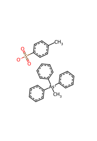 C[As+](c1ccccc1)(c1ccccc1)c1ccccc1.Cc1ccc(S(=O)(=O)[O-])cc1